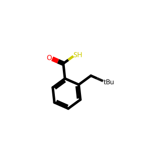 CC(C)(C)Cc1ccccc1C(=O)S